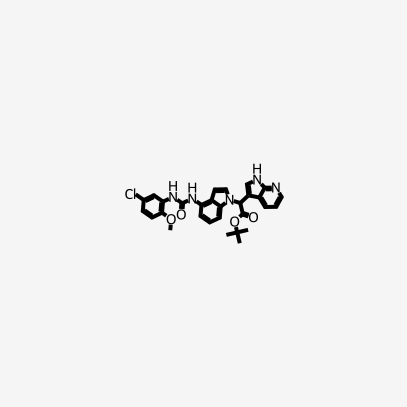 COc1ccc(Cl)cc1NC(=O)Nc1cccc2c1ccn2C(C(=O)OC(C)(C)C)c1c[nH]c2ncccc12